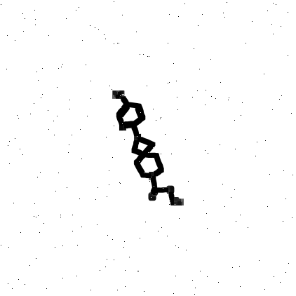 CC(C)(C)OC(=O)N1CCC2(CC1)CN(c1ccc(C#N)cn1)C2